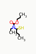 CCCOC(=O)N(CC)C(S)CCC